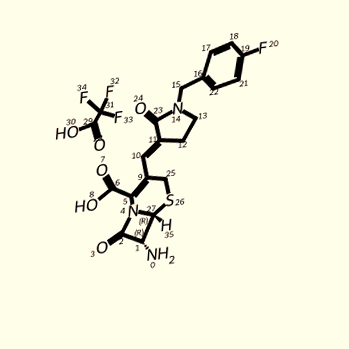 N[C@@H]1C(=O)N2C(C(=O)O)=C(C=C3CCN(Cc4ccc(F)cc4)C3=O)CS[C@H]12.O=C(O)C(F)(F)F